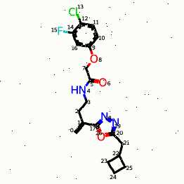 C=C(CCNC(=O)COc1ccc(Cl)c(F)c1)c1nnc(CC2CCC2)o1